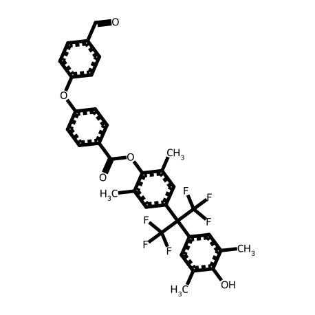 Cc1cc(C(c2cc(C)c(OC(=O)c3ccc(Oc4ccc(C=O)cc4)cc3)c(C)c2)(C(F)(F)F)C(F)(F)F)cc(C)c1O